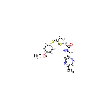 COc1ccc(Sc2ccc(C(=O)NCc3cnc(C)cn3)s2)cc1